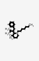 CCCCCCCN1CCCC(C)C1C(Cc1ccccc1)C(C)C